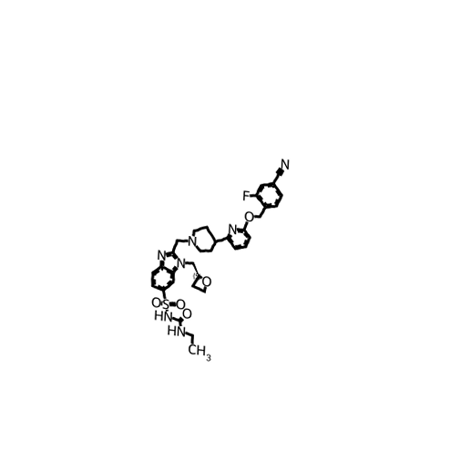 CCNC(=O)NS(=O)(=O)c1ccc2nc(CN3CCC(c4cccc(OCc5ccc(C#N)cc5F)n4)CC3)n(C[C@@H]3CCO3)c2c1